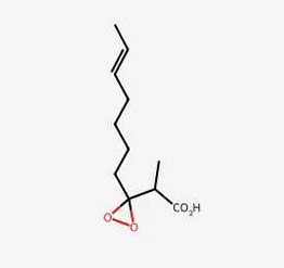 CC=CCCCCC1(C(C)C(=O)O)OO1